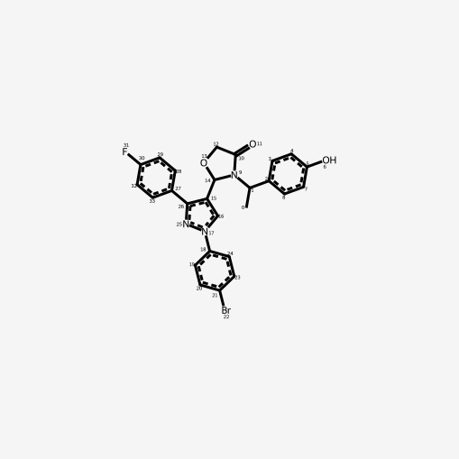 CC(c1ccc(O)cc1)N1C(=O)COC1c1cn(-c2ccc(Br)cc2)nc1-c1ccc(F)cc1